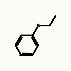 CCSc1cc[c]cc1